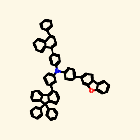 c1ccc(-c2ccc(-c3ccc(N(c4ccc(-c5ccc6c(c5)oc5ccccc56)cc4)c4cccc(-c5cccc6c5-c5ccccc5C6(c5ccccc5)c5ccccc5)c4)cc3)c3ccccc23)cc1